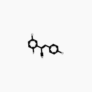 N#C/C(=C\c1ccc(Cl)cc1)c1cc(Cl)ccc1F